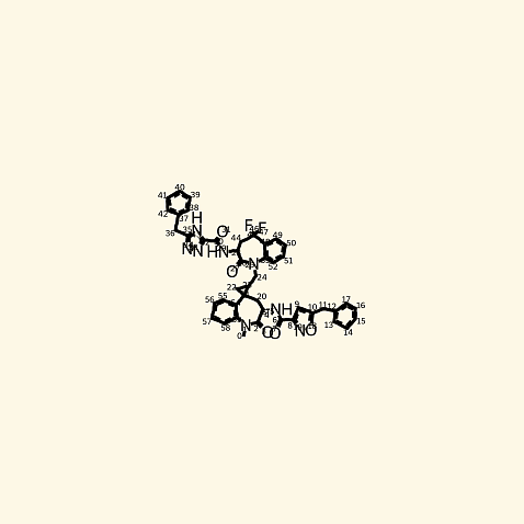 CN1C(=O)[C@@H](NC(=O)c2cc(Cc3ccccc3)on2)CC2(CC2CN2C(=O)C(NC(=O)c3nnc(Cc4ccccc4)[nH]3)CC(F)(F)c3ccccc32)c2ccccc21